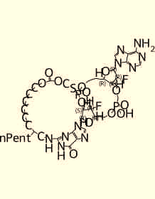 CCCCCC1CCCCCCOC(=O)OCSP2(=O)OCC[C@H]3O[C@@H](n4cnc5c(N)ncnc54)[C@H](F)[C@@H]3OCP(=O)(O)OC[C@H]3O[C@H]([C@H](O2)[C@@H]3F)n2cnc3c(=O)[nH]c(nc32)NC1